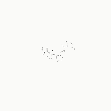 CNC(=S)NS(=O)(=O)c1cc2c(cc1C)OCCC2CNC(=O)c1cc(F)ccc1OC